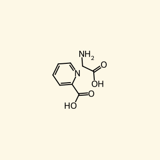 NCC(=O)O.O=C(O)c1ccccn1